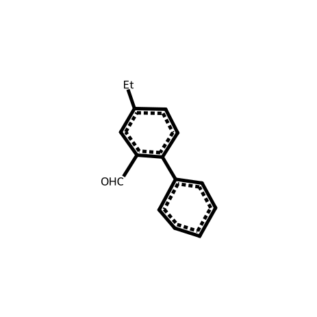 CCc1ccc(-c2ccccc2)c(C=O)c1